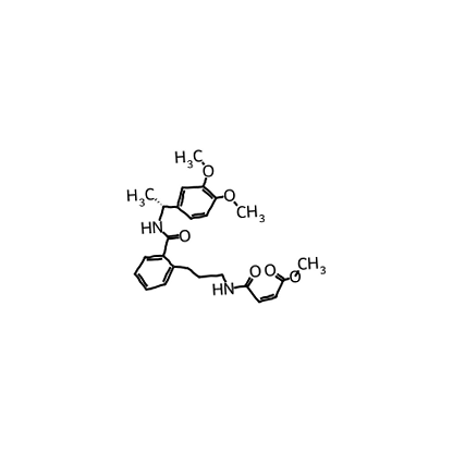 COC(=O)/C=C\C(=O)NCCCc1ccccc1C(=O)N[C@H](C)c1ccc(OC)c(OC)c1